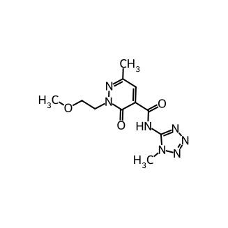 COCCn1nc(C)cc(C(=O)Nc2nnnn2C)c1=O